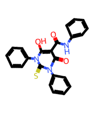 O=C(Nc1ccccc1)c1c(O)n(-c2ccccc2)c(=S)n(-c2ccccc2)c1=O